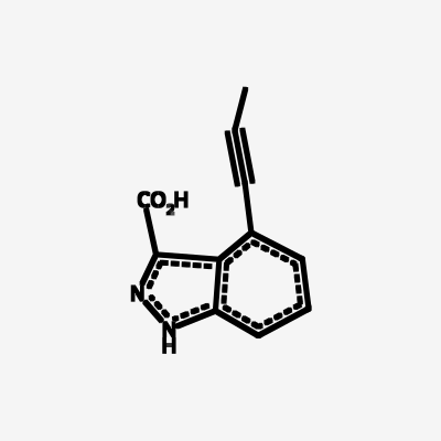 CC#Cc1cccc2[nH]nc(C(=O)O)c12